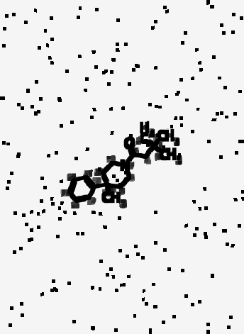 CC(C)(C)CC(=O)N1CCC(C)(c2ccccc2)CC1